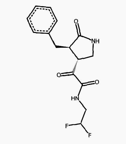 O=C(NCC(F)F)C(=O)[C@H]1CNC(=O)[C@@H]1Cc1ccccc1